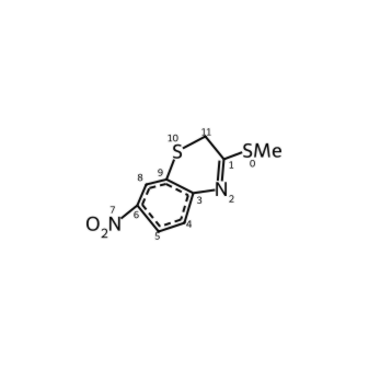 CSC1=Nc2ccc([N+](=O)[O-])cc2SC1